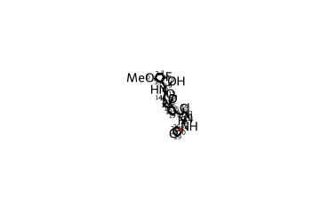 COc1ccc(F)c([C@@H](CO)NC(=O)[C@@H](C)N2Cc3ccc(-c4nc(NC5CCOCC5)ncc4Cl)cc3C2=O)c1